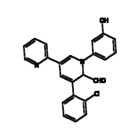 O=CC1C(c2ccccc2Cl)=CC(c2ccccn2)=CN1c1cccc(O)c1